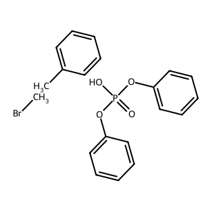 CBr.Cc1ccccc1.O=P(O)(Oc1ccccc1)Oc1ccccc1